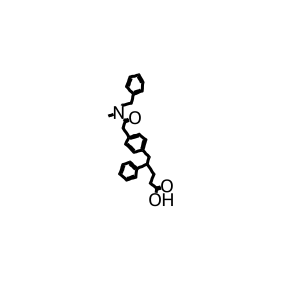 CN(CCc1ccccc1)C(=O)Cc1ccc(CC(CCC(=O)O)c2ccccc2)cc1